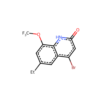 CCc1cc(OC(F)(F)F)c2[nH]c(=O)cc(Br)c2c1